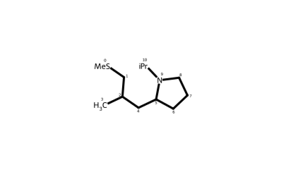 CSCC(C)CC1CCCN1C(C)C